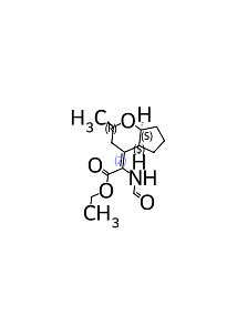 CCOC(=O)/C(NC=O)=C1\C[C@@H](C)O[C@H]2CCC[C@@H]12